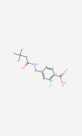 CC(C)(C)CC(=O)NCc1ccc(C(=O)O)c(F)c1